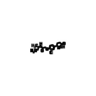 CC(CN)NC(=O)COc1ccc(C2=NNC(=O)CC2)cc1Cl